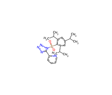 CC(C)c1cc(C(C)C)c(S(=O)(=O)n2nnnc2-c2ccccn2)c(C(C)C)c1